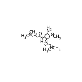 COc1cc(N2CCC2CN(C)C)c(NC(=O)/C=C/CN(C)C)cc1N